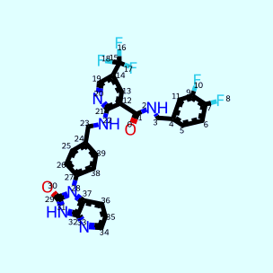 O=C(NCc1ccc(F)c(F)c1)c1cc(C(F)(F)F)cnc1NCc1ccc(-n2c(=O)[nH]c3ncccc32)cc1